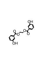 O=C(OCCOC(=O)c1cccc(O)c1)c1cccc(O)c1